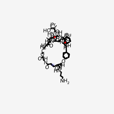 CC[C@H](C)C1NC(=O)[C@@H](NC(=O)[C@H](C)[C@H](O)C(C)C)[C@@H](C)OC(=O)[C@@H]2COC(=O)CNC(=O)/C=C/[C@](O)(CNCCCN)[C@@H](C)Oc3ccc(cc3)[C@H](NC1=O)C(=O)N(C)[C@@H](Cc1ccccc1)C(=O)N[C@H]([C@@H](C)O)N2